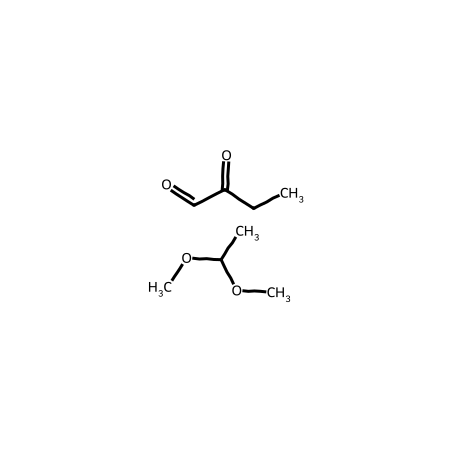 CCC(=O)C=O.COC(C)OC